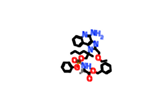 CCCCC(C)(CO[P@](=O)(N[C@@H](C)C(=O)OCc1ccccc1)Oc1ccccc1)n1c(COCC)nc2c(N)nc3ccccc3c21